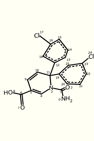 NC(=O)N1C=C(C(=O)O)C=CC1(c1cccc(Cl)c1)c1cccc(Cl)c1